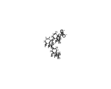 Fc1ccccc1[N+](F)(F)F.Fc1ccccc1[N+](F)(F)F.Fc1ccccc1[N+](F)(F)F.[O-]B([O-])[O-]